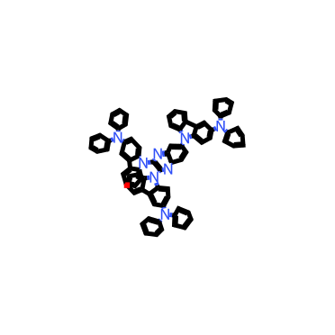 c1ccc(N(c2ccccc2)c2ccc3c(c2)c2ccccc2n3-c2ccc3nc(-n4c5ccccc5c5cc(N(c6ccccc6)c6ccccc6)ccc54)c(-n4c5ccccc5c5cc(N(c6ccccc6)c6ccccc6)ccc54)nc3c2)cc1